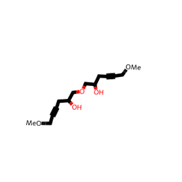 COCC#CCC(O)COCC(O)CC#CCOC